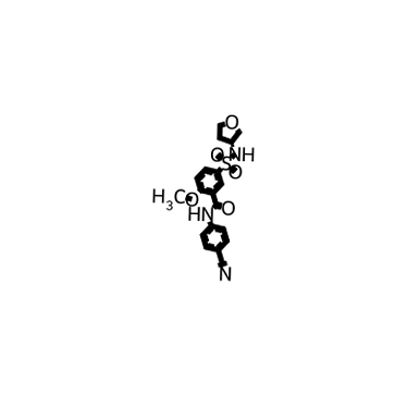 COc1ccc(S(=O)(=O)N[C@H]2CCOC2)cc1C(=O)Nc1ccc(C#N)cc1